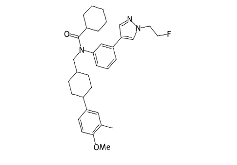 COc1ccc(C2CCC(CN(C(=O)C3CCCCC3)c3cccc(-c4cnn(CCF)c4)c3)CC2)cc1C